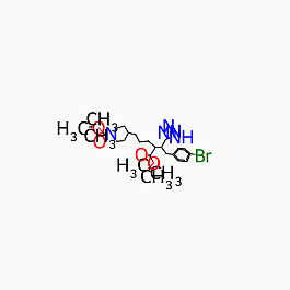 CC(C)(C)OC(=O)C(CCCC1CCN(C(=O)OC(C)(C)C)CC1)C(Cc1ccc(Br)cc1)c1nnn[nH]1